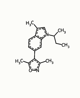 CCC(C)n1cc(C)c2ccc(-c3c(C)noc3C)cc21